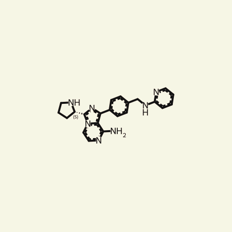 Nc1nccn2c([C@@H]3CCCN3)nc(-c3ccc(CNc4ccccn4)cc3)c12